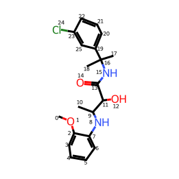 COc1ccccc1NC(C)C(O)C(=O)NC(C)(C)c1cccc(Cl)c1